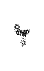 Cc1c(CCC2CCN(C)CC2)nn(-c2ccccc2)c1NC(=O)N[C@@H]1c2ccccc2CC[C@H]1O